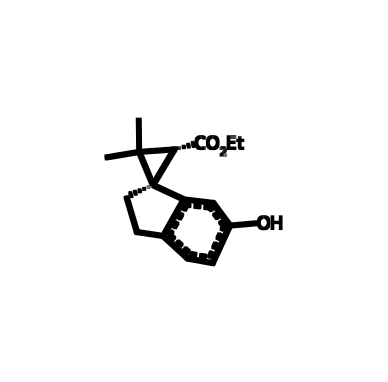 CCOC(=O)[C@H]1C(C)(C)[C@@]12CCc1ccc(O)cc12